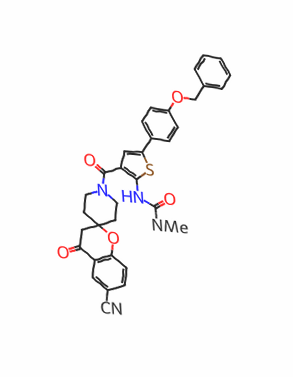 CNC(=O)Nc1sc(-c2ccc(OCc3ccccc3)cc2)cc1C(=O)N1CCC2(CC1)CC(=O)c1cc(C#N)ccc1O2